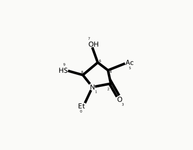 CCN1C(=O)C(C(C)=O)C(O)C1S